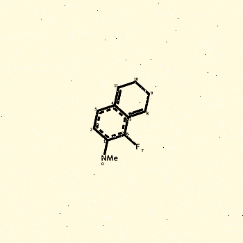 CNc1ccc2c(c1F)=CCCC=2